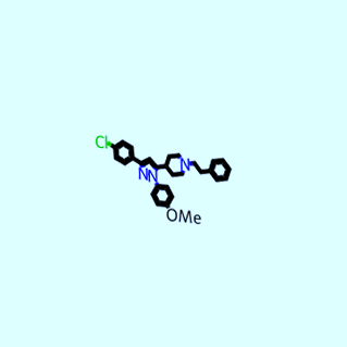 COc1ccc(-n2nc(-c3ccc(Cl)cc3)cc2C2CCN(CCc3ccccc3)CC2)cc1